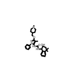 Cc1c(OCC2CCN(C)CC2)nn(-c2ccccc2)c1NC(=O)NC1c2ccccc2C(C)(C)CC1O